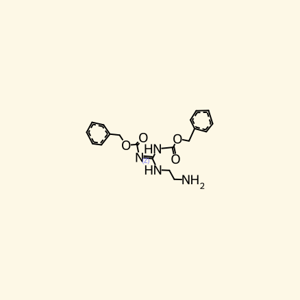 NCCN/C(=N/C(=O)OCc1ccccc1)NC(=O)OCc1ccccc1